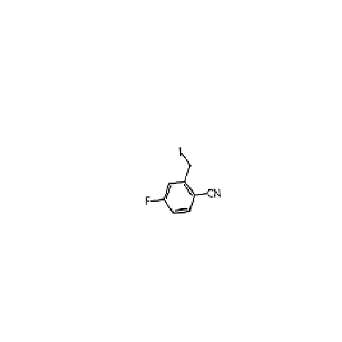 N#Cc1ccc(F)cc1CI